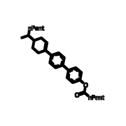 CCCCCC(=O)Oc1ccc(-c2ccc(C3=CCC(C(C)CCCCC)CC3)cc2)cc1